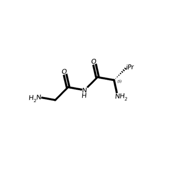 CC(C)[C@H](N)C(=O)NC(=O)CN